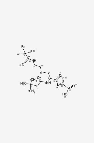 CC(C)(C)OC(=O)NC(CCCCNC(=O)C(F)(F)F)c1nc(C(=O)O)co1